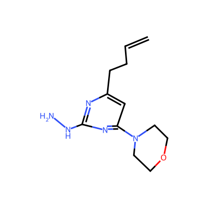 C=CCCc1cc(N2CCOCC2)nc(NN)n1